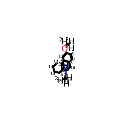 [2H]C([2H])([2H])Oc1ccc2c(c1)[C@]13CCCC[C@@H]1C(C2)N(C([2H])([2H])[2H])CC3